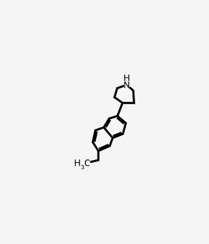 CCc1ccc2cc(C3CCNCC3)ccc2c1